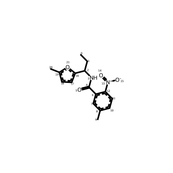 CCC(NC(=O)c1cc(C)ccc1[N+](=O)[O-])c1ccc(C)o1